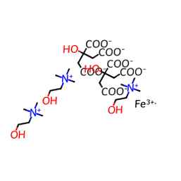 C[N+](C)(C)CCO.C[N+](C)(C)CCO.C[N+](C)(C)CCO.O=C([O-])CC(O)(CC(=O)[O-])C(=O)[O-].O=C([O-])CC(O)(CC(=O)[O-])C(=O)[O-].[Fe+3]